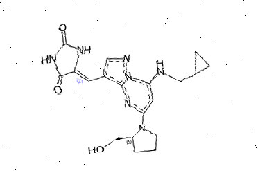 O=C1NC(=O)/C(=C/c2cnn3c(NCC4CC4)cc(N4CCC[C@H]4CO)nc23)N1